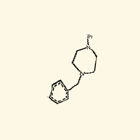 CC(C)N1CCN(Cc2cc[c]cc2)CC1